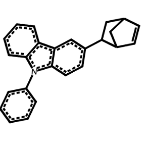 C1=CC2CC1CC2c1ccc2c(c1)c1ccccc1n2-c1ccccc1